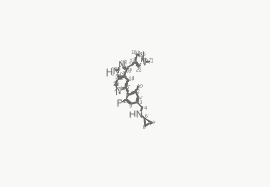 Cc1cc(CNC2CC2)cc(F)c1-c1cc2c(-c3cnn(C)c3)n[nH]c2cn1